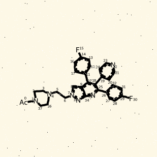 CC(=O)N1CCN(CCn2cc3c(-c4ccc(F)cc4)c(-c4ccncc4)c(-c4ccc(F)cc4)nc3n2)CC1